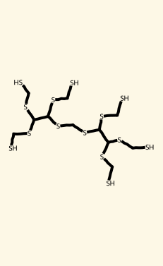 SCSC(SCS)C(SCS)SCSC(SCS)C(SCS)SCS